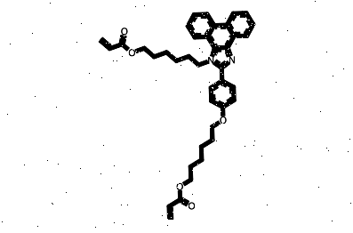 C=CC(=O)OCCCCCCOc1ccc(-c2nc3c4ccccc4c4ccccc4c3n2CCCCCCOC(=O)C=C)cc1